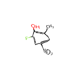 Cc1cc([N+](=O)[O-])cc(F)c1O